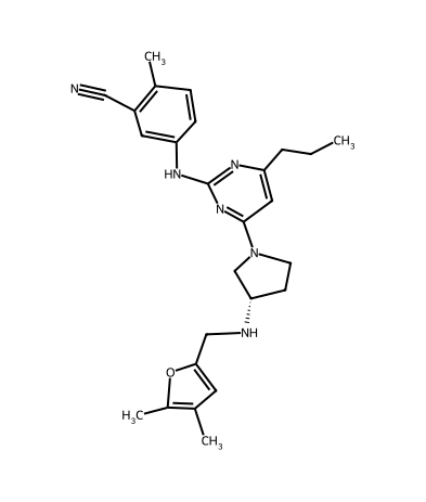 CCCc1cc(N2CC[C@H](NCc3cc(C)c(C)o3)C2)nc(Nc2ccc(C)c(C#N)c2)n1